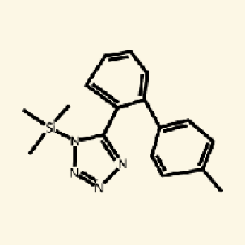 Cc1ccc(-c2ccccc2-c2nnnn2[Si](C)(C)C)cc1